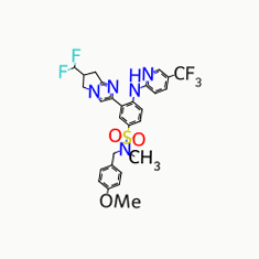 COc1ccc(CN(C)S(=O)(=O)c2ccc(Nc3ccc(C(F)(F)F)cn3)c(-c3cn4c(n3)CC(C(F)F)C4)c2)cc1